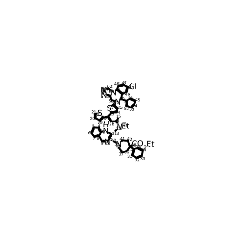 C1=CNc2ccccc2C=N1.CCN(C)C(C)C=C(c1cccs1)c1cccs1.CCOC(=O)C1(c2ccccc2)CCCN(C)CC1.Clc1ccc2c(c1)C(c1ccccc1)=NCc1nncn1-2